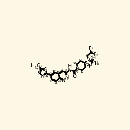 [2H]C([2H])([2H])N(CC(F)F)C1CCN(C(=O)Nc2cc3cc(-c4nnc(C)s4)ccc3nn2)CC1